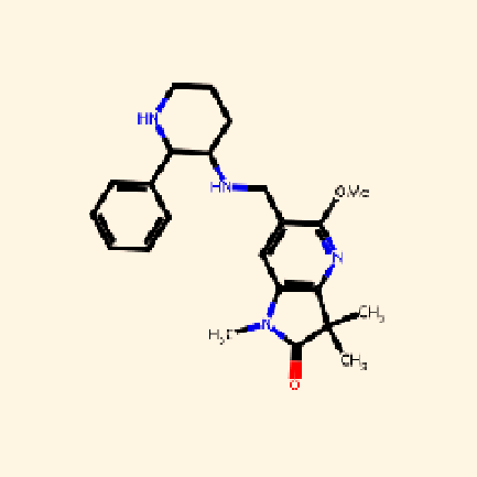 COc1nc2c(cc1CNC1CCCNC1c1ccccc1)N(C)C(=O)C2(C)C